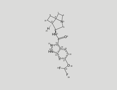 O=C(N[C@@H]1CN2CCC23CC[C@H]13)c1n[nH]c2cc(OC(F)F)ccc12